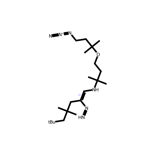 CC(C)(C)CC(C)(C)C/C(=C/NC(C)(C)CCOC(C)(C)CCN=[N+]=[N-])N=N